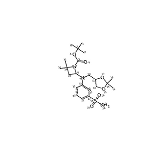 CC(C)(C)OC(=O)N1C(N(CC2COC(C)(C)O2)c2cccc(S(N)(=O)=O)n2)CC1(C)C